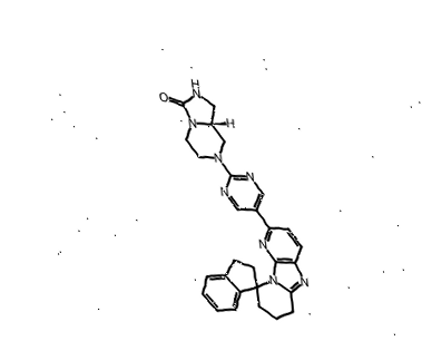 O=C1NC[C@@H]2CN(c3ncc(-c4ccc5nc6n(c5n4)C4(CCC6)CCc5ccccc54)cn3)CCN12